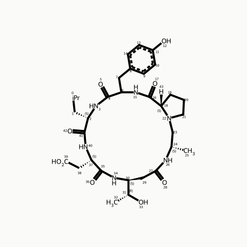 CC(C)C[C@@H]1NC(=O)C(Cc2ccc(O)cc2)NC(=O)[C@@H]2CCCN2C[C@H](C)NC(=O)C[C@@H]([C@@H](C)O)NC(=O)[C@H](CC(=O)O)NC1=O